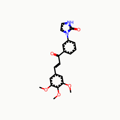 COc1cc(C=CC(=O)c2cccc(-n3cc[nH]c3=O)c2)cc(OC)c1OC